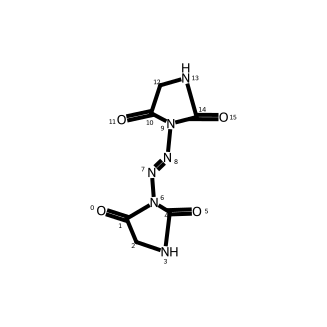 O=C1CNC(=O)N1N=NN1C(=O)CNC1=O